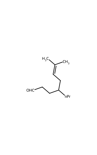 CCCC(CC=C(C)C)CCC=O